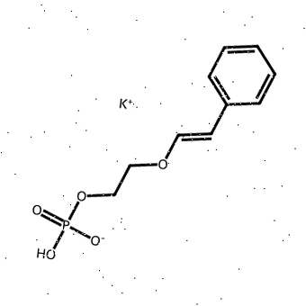 O=P([O-])(O)OCCOC=Cc1ccccc1.[K+]